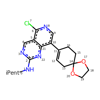 CCCC(C)Nc1ncc2c(Cl)ncc(C3=CCC4(CC3)OCCO4)c2n1